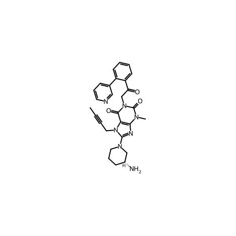 CC#CCn1c(N2CCC[C@@H](N)C2)nc2c1c(=O)n(CC(=O)c1ccccc1-c1cccnc1)c(=O)n2C